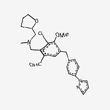 COc1c(Cc2ccc(-n3cccn3)cc2)cc(C=O)c(CN(C)CC2CCCO2)c1Cl